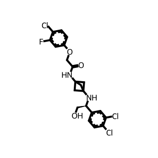 O=C(COc1ccc(Cl)c(F)c1)NC12CC(N[C@H](CO)c3ccc(Cl)c(Cl)c3)(C1)C2